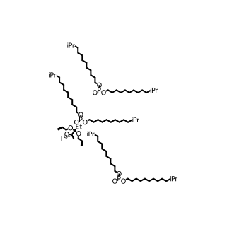 C=CCOC(CC)(OCC=C)C(C)[O][Ti+3].CC(C)CCCCCCCCCCOP([O-])OCCCCCCCCCCC(C)C.CC(C)CCCCCCCCCCOP([O-])OCCCCCCCCCCC(C)C.CC(C)CCCCCCCCCCOP([O-])OCCCCCCCCCCC(C)C